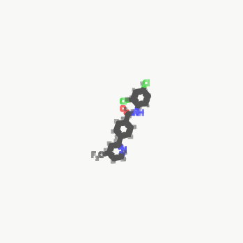 O=C(Nc1ccc(Cl)cc1Cl)c1ccc(-c2cc(C(F)(F)F)ccn2)cc1